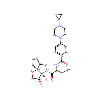 CS[C@H]1CN(C(=O)C(CC(C)C)NC(=O)c2ccc(N3CCN(C4CC4)CC3)cc2)[C@@H]2C(=O)CO[C@H]12